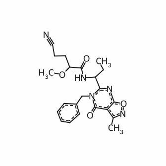 CCC(NC(=O)C(CCC#N)OC)c1nc2onc(C)c2c(=O)n1Cc1ccccc1